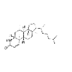 CC(C)CCC[C@@H](C)[C@H]1CC[C@H]2[C@@H]3C(C)C[C@H]4NC(=O)C=C[C@]4(C)[C@H]3CC[C@]12C